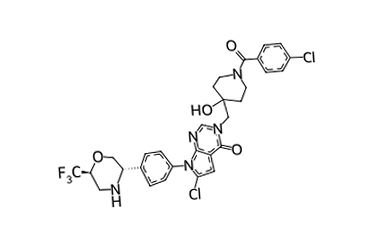 O=C(c1ccc(Cl)cc1)N1CCC(O)(Cn2cnc3c(cc(Cl)n3-c3ccc([C@H]4CO[C@H](C(F)(F)F)CN4)cc3)c2=O)CC1